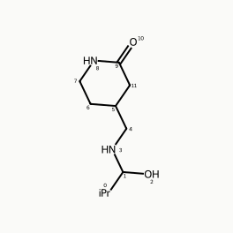 CC(C)C(O)NCC1CCNC(=O)C1